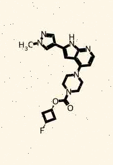 Cn1cc(-c2cc3c(N4CCN(C(=O)O[C@H]5C[C@@H](F)C5)CC4)ccnc3[nH]2)cn1